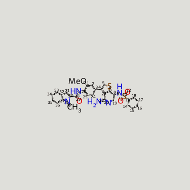 COc1cc(-c2csc3c(NS(=O)(=O)c4ccccc4)cnc(N)c23)ccc1NC(=O)c1cc2ccccc2n1C